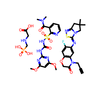 C#CCN1C(=O)COc2cc(F)c(/N=c3\snc4n3CC(C)(C)C4)cc21.COc1cc(OC)nc(NC(=O)NS(=O)(=O)c2ncccc2C(=O)N(C)C)n1.O=C(O)CNCP(=O)(O)O